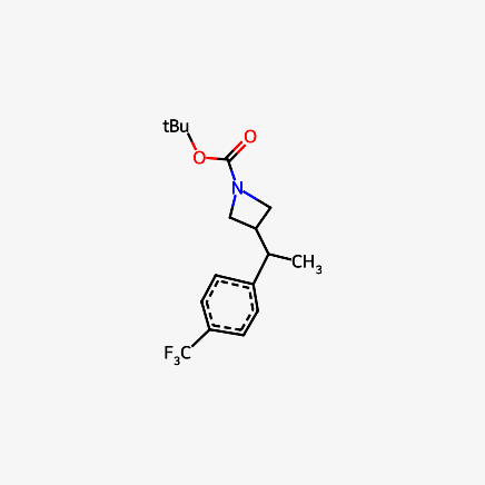 CC(c1ccc(C(F)(F)F)cc1)C1CN(C(=O)OC(C)(C)C)C1